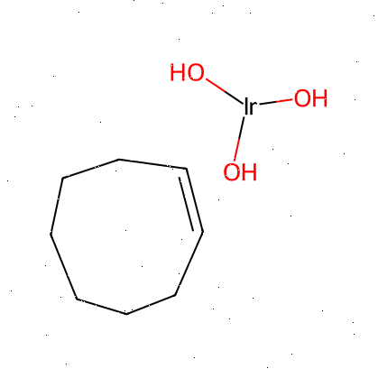 C1=CCCCCCC1.[OH][Ir]([OH])[OH]